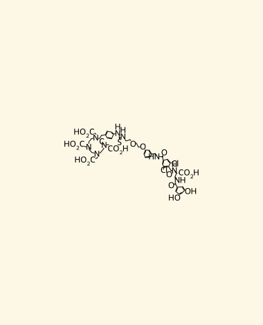 O=C(O)CN1CCN(CC(=O)O)CCN(CC(=O)O)C(Cc2ccc(NC(=S)NCCOCCOc3cccc(CNC(=O)c4cc(Cl)c(C(=O)N[C@@H](CNC(=O)c5cc(O)cc(O)c5)C(=O)O)c(Cl)c4)c3)cc2)CN(CC(=O)O)CC1